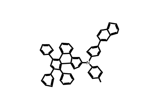 Cc1ccc(N(c2ccc(-c3ccc4ccccc4c3)cc2)c2ccc3c(c2)c2ccccc2c2c(-c4ccccc4)cc(-c4ccccc4)c(-c4ccccc4)c32)cc1